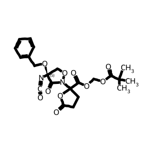 CC(C)(C)C(=O)OCOC(=O)C1(N2OC[C@](N=C=O)(OCc3ccccc3)C2=O)CCC(=O)O1